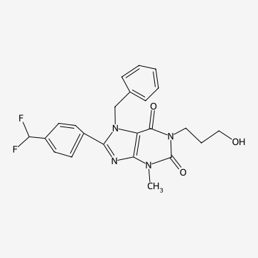 Cn1c(=O)n(CCCO)c(=O)c2c1nc(-c1ccc(C(F)F)cc1)n2Cc1ccccc1